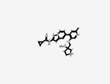 COC1(COc2cnc(C)cc2-c2ccn3nc(NC(=O)C4CC4)cc3c2)CCNC1